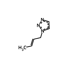 CC=CCn1ccnn1